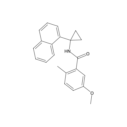 COc1ccc(C)c(C(=O)NC2(c3cccc4ccccc34)CC2)c1